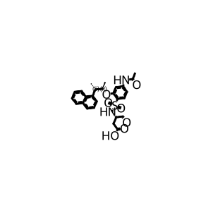 CC(=O)Nc1ccc(S(=O)(=O)NC(C=O)CC(=O)O)c(O[C@H](C)[C@@H](C)c2cccc3ccccc23)c1